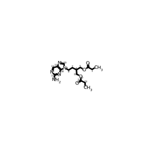 CCC(=O)OCC(CCn1cnc2cnc(N)nc21)COC(=O)CC